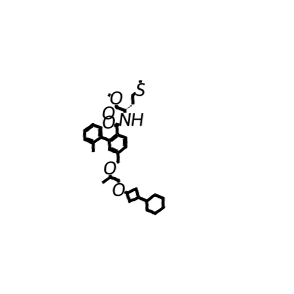 COC(=O)[C@H](CCSC)NC(=O)c1ccc(COC(C)COC2CC(C3CCCCC3)C2)cc1-c1ccccc1C